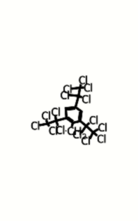 [CH2]c1c(C(Cl)(Cl)C(Cl)(Cl)Cl)cc(C(Cl)(Cl)C(Cl)(Cl)Cl)cc1C(Cl)(Cl)C(Cl)(Cl)Cl